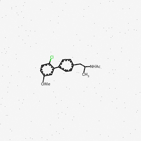 COc1ccc(Cl)c(-c2ccc(CC(C)NC(C)=O)cc2)c1